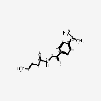 CCCCC(=O)NCC(=O)c1ccc(N(C)C)cc1